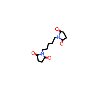 O=C1CCC(=O)N1CCCCCN1C(=O)CCC1=O